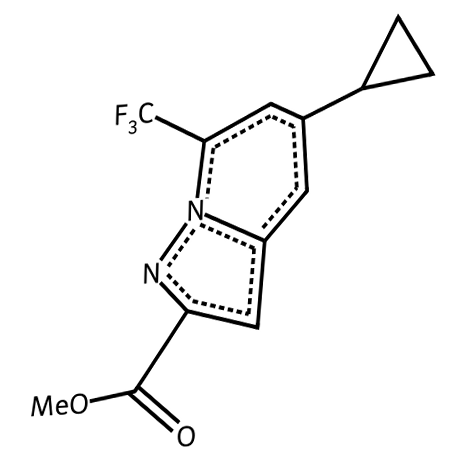 COC(=O)c1cc2cc(C3CC3)cc(C(F)(F)F)n2n1